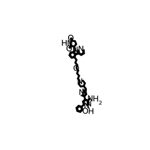 Nc1nnc(-c2ccccc2O)cc1-c1cnn(CC2CCN(CCCCOCCCc3cccc4c3c3cccnc3n4C3CCC(=O)NC3=O)CC2)c1